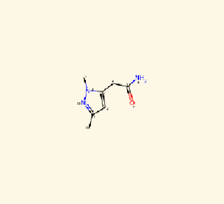 Cc1cc(CC(N)=O)n(C)n1